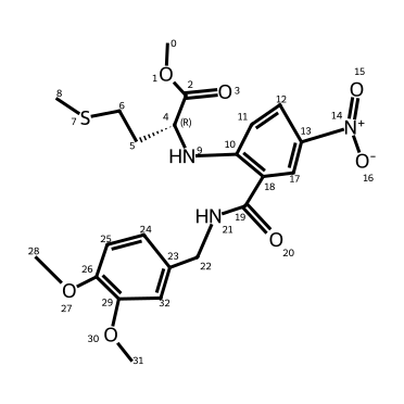 COC(=O)[C@@H](CCSC)Nc1ccc([N+](=O)[O-])cc1C(=O)NCc1ccc(OC)c(OC)c1